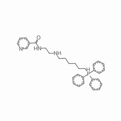 O=C(NCCNCCCCCC[PH](c1ccccc1)(c1ccccc1)c1ccccc1)c1cccnc1